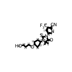 CC1(C)C(=O)N(c2cnc(C#N)c(C(F)(F)F)c2)C(=S)N1C1CCC(OCCCO)CC1